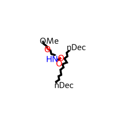 CCCCCCCCCCCCCCCCC(CCCCCCCCCCCCCCC)OC(=O)NCCCOCCOC